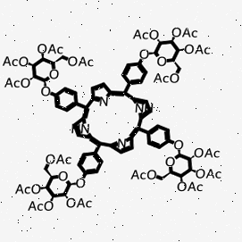 CC(=O)OC[C@H]1O[C@@H](Oc2ccc(-c3c4nc(c(-c5ccc(O[C@@H]6O[C@H](COC(C)=O)[C@H](OC(C)=O)[C@H](OC(C)=O)[C@H]6OC(C)=O)cc5)c5ccc([nH]5)c(-c5ccc(O[C@@H]6O[C@H](COC(C)=O)[C@H](OC(C)=O)[C@H](OC(C)=O)[C@H]6OC(C)=O)cc5)c5nc(c(-c6ccc(O[C@@H]7O[C@H](COC(C)=O)[C@H](OC(C)=O)[C@H](OC(C)=O)[C@H]7OC(C)=O)cc6)c6ccc3[nH]6)C=C5)C=C4)cc2)[C@H](OC(C)=O)[C@@H](OC(C)=O)[C@H]1OC(C)=O